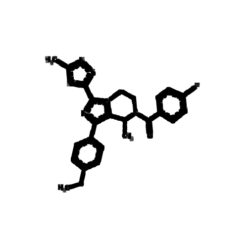 COc1ccc(-c2nc(-c3nc(C)ns3)n3c2C(C)N(C(=O)c2ccc(F)cc2)CC3)cc1